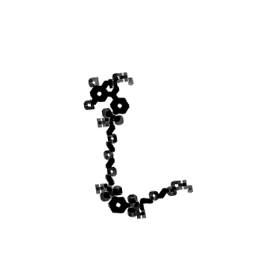 COCCOCCNS(=O)(=O)c1cccc(S(=O)(=O)NCCOCCOCCOCCNS(=O)(=O)c2cccc(C3CN(C)Cc4c(Cl)cc(Cl)cc43)c2)c1